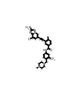 Cc1ccc(C(=O)Nc2ccc(CN3CCN(C)CC3)c(C(F)(F)F)c2)cc1C#Cc1cc(Cl)c2nc(N)nn2c1